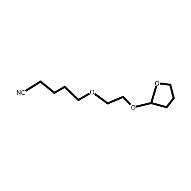 N#CCCCCOCCOC1CCCO1